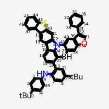 CC(C)(C)c1ccc(Nc2ccc(C(C)(C)C)cc2-c2ccc3c4cc5c(cc4n4c3c2Bc2cc3occ(-c6ccccc6)c3cc2-4)sc2ccccc25)cc1